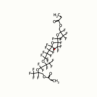 C=CC(=O)OCC(F)(OC(F)(F)C(F)(OC(F)(F)C(F)(F)C(F)(F)C(F)(F)OC(F)(C(F)(F)F)C(F)(F)OC(F)(COC(=O)C=C)C(F)(F)F)C(F)(F)F)C(F)(F)F